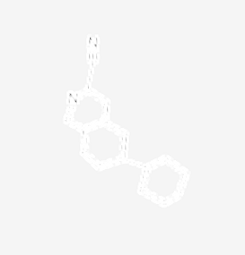 N#Cc1cc2cc(-c3ccccc3)ccc2cn1